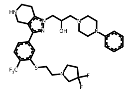 OC(CN1CCN(c2ccccc2)CC1)Cn1nc(-c2ccc(C(F)(F)F)c(SCCN3CCC(F)(F)C3)c2)c2c1CCNC2